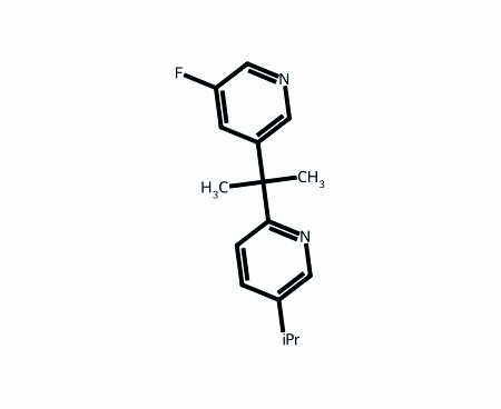 CC(C)c1ccc(C(C)(C)c2cncc(F)c2)nc1